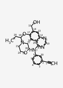 C#Cc1cccc(Nc2ncnc3cc(CO)c(OC(CC)N4CCOCC4)cc23)c1